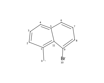 [CH2]c1cccc2cccc(Br)c12